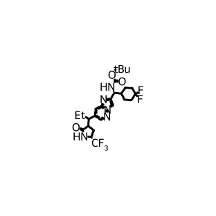 CCC(c1cnn2cc([C@@H](NC(=O)OC(C)(C)C)C3CCC(F)(F)CC3)nc2c1)C1C[C@@H](C(F)(F)F)NC1=O